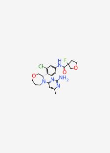 Cc1cc(N2CCCOC[C@@H]2c2ccc(NC(=O)C3(F)CCOC3)cc2Cl)nc(N)n1